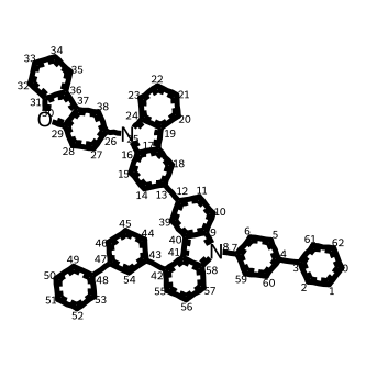 c1ccc(-c2ccc(-n3c4ccc(-c5ccc6c(c5)c5ccccc5n6-c5ccc6oc7ccccc7c6c5)cc4c4c(-c5cccc(-c6ccccc6)c5)cccc43)cc2)cc1